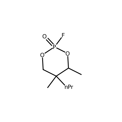 CCCC1(C)COP(=O)(F)OC1C